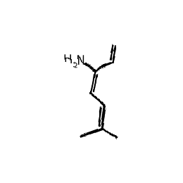 C=C/C(N)=C\C=C(C)C